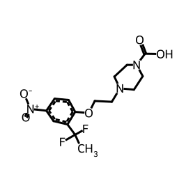 CC(F)(F)c1cc([N+](=O)[O-])ccc1OCCN1CCN(C(=O)O)CC1